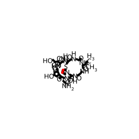 CC[C@H](C)[C@@H]1NC(=O)CNC(=O)[C@@H]2CSc3c4ccccc4cn3C[C@H](NC(=O)CNC1=O)C(=O)N[C@@H](CC(N)=O)C(=O)C1C[C@H](O)C[C@H]1C(=O)N[C@@H]([C@@H](C)[C@@H](O)CO)C(=O)N2